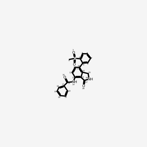 CS(=O)(=O)c1ccccc1-c1ccc(NC(=O)c2ccccc2)c2c1CNC2=O